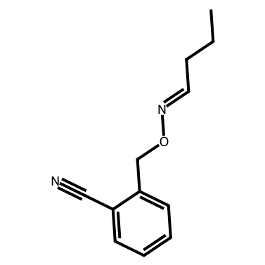 CCCC=NOCc1ccccc1C#N